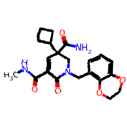 CNC(=O)C1=CC(C(N)=O)(C2CCC2)CN(Cc2cccc3c2OCCO3)C1=O